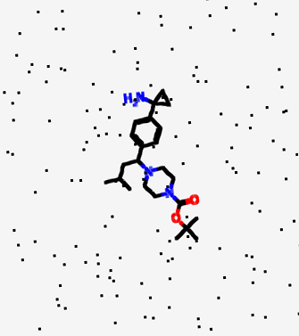 CC(C)CC(c1ccc(C2(N)CC2)cc1)N1CCN(C(=O)OC(C)(C)C)CC1